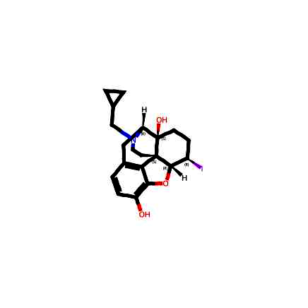 Oc1ccc2c3c1O[C@H]1[C@H](I)CC[C@@]4(O)[C@@H](C2)N(CC2CC2)CC[C@]314